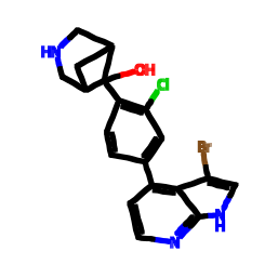 OC1(c2ccc(-c3ccnc4[nH]cc(Br)c34)cc2Cl)C2CNCC1C2